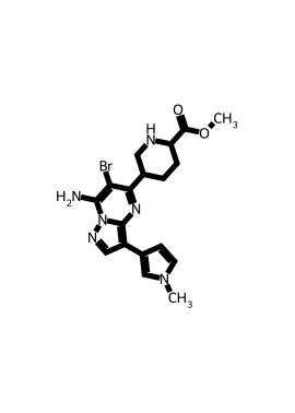 COC(=O)C1CCC(c2nc3c(-c4ccn(C)c4)cnn3c(N)c2Br)CN1